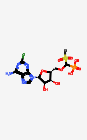 CCS(=O)(=O)C(OC[C@H]1O[C@@H](n2cnc3c(N)nc(Cl)nc32)[C@H](O)[C@H]1O)P(=O)(O)O